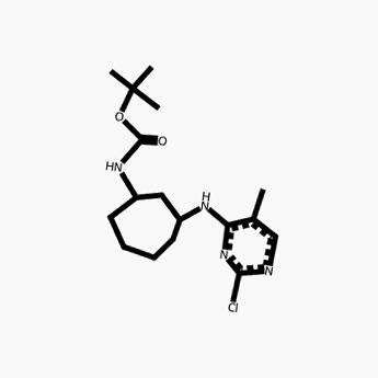 Cc1cnc(Cl)nc1NC1CCCCC(NC(=O)OC(C)(C)C)C1